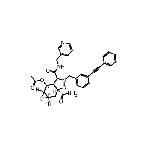 CC(=O)O[C@H]1C2C(C(=O)NCc3cccnc3)N(Cc3cccc(C#Cc4ccccc4)c3)O[C@@]2(C(N)=O)C[C@@H]2O[C@@H]21